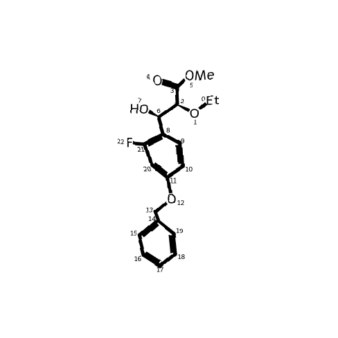 CCO[C@H](C(=O)OC)[C@H](O)c1ccc(OCc2ccccc2)cc1F